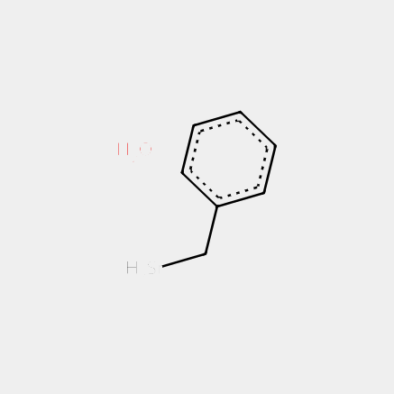 O.[SiH3]Cc1ccccc1